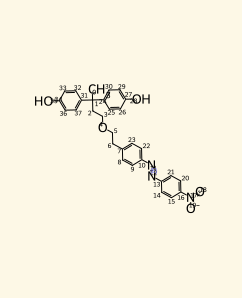 CC(CCOCCc1ccc(/N=N/c2ccc([N+](=O)[O-])cc2)cc1)(c1ccc(O)cc1)c1ccc(O)cc1